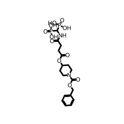 O=C(CCC(=O)OC1CCN(C(=O)OCc2ccccc2)CC1)NC(P(=O)(O)O)P(=O)(O)O